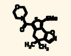 CSc1sc(C(=O)N2CCOCC2)c2c1-c1oncc1C(C)(C)C2